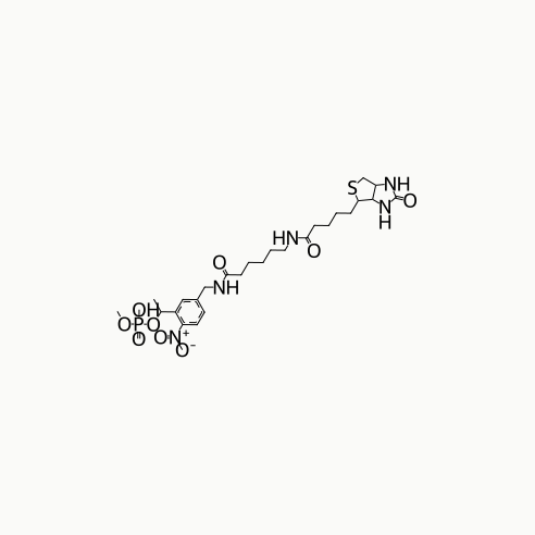 COP(=O)(O)OC(C)c1cc(CNC(=O)CCCCCNC(=O)CCCCC2SCC3NC(=O)NC32)ccc1[N+](=O)[O-]